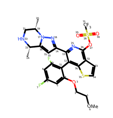 COCCOc1cc(F)cc(F)c1-c1c(-c2cc3n(n2)[C@@H](C)CN[C@H]3C)nc(OS(=O)(=O)C(F)(F)F)c2ccsc12